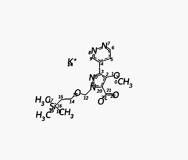 COc1c(-c2ccnnc2)nn(COCC[Si](C)(C)C)c1C(=O)[O-].[K+]